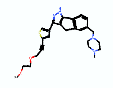 CC(C)OCCOCC#Cc1cc(-c2n[nH]c3c2Cc2cc(CN4CCN(C)CC4)ccc2-3)cs1